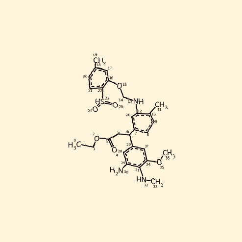 CCOC(=O)CC(c1ccc(C)c(NCOc2cc(C)ccc2[SH](=O)=O)c1)c1cc(N)c(NC)c(OC)c1